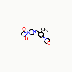 O=C1CCC(=O)N1N1CCN(Cc2ccc(N3CCOCC3)cc2C(F)(F)F)CC1